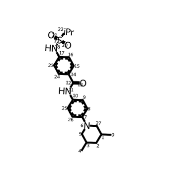 CC1CC(C)CN(c2ccc(NC(=O)c3ccc(NS(=O)(=O)C(C)C)cc3)cc2)C1